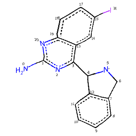 Nc1nc(C2[N]Cc3ccccc32)c2cc(I)ccc2n1